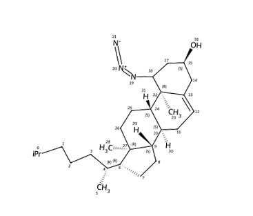 CC(C)CCC[C@@H](C)[C@H]1CC[C@H]2[C@@H]3CC=C4C[C@H](O)CC(N=[N+]=[N-])[C@]4(C)[C@H]3CC[C@]12C